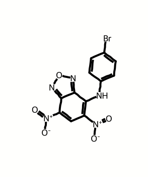 O=[N+]([O-])c1cc([N+](=O)[O-])c2nonc2c1Nc1ccc(Br)cc1